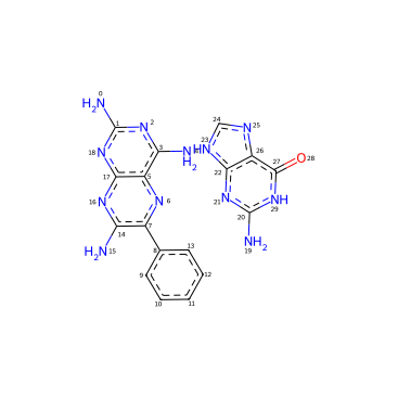 Nc1nc(N)c2nc(-c3ccccc3)c(N)nc2n1.Nc1nc2[nH]cnc2c(=O)[nH]1